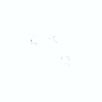 C=C(/C=N\C(=C/C)C(F)(F)F)COC1CN(C(=O)N2CCC(C3NN=C(C4CC4)N3)CC2)C1